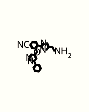 N#Cc1ccc(-c2ncc(CCN)cn2)c(Oc2cnnc(-c3ccccc3)c2)c1